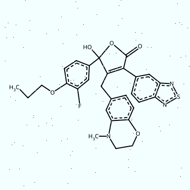 CCCOc1ccc(C2(O)OC(=O)C(c3ccc4nsnc4c3)=C2Cc2ccc3c(c2)N(C)CCO3)cc1F